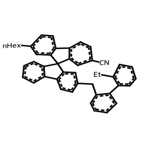 CCCCCCc1ccc2c(c1)C1(c3ccccc3-c3ccc(Cc4ccccc4-c4ccccc4CC)cc31)c1cc(C#N)ccc1-2